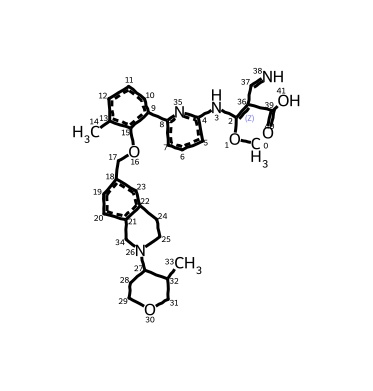 CO/C(Nc1cccc(-c2cccc(C)c2OCc2ccc3c(c2)CCN(C2CCOCC2C)C3)n1)=C(/C=N)C(=O)O